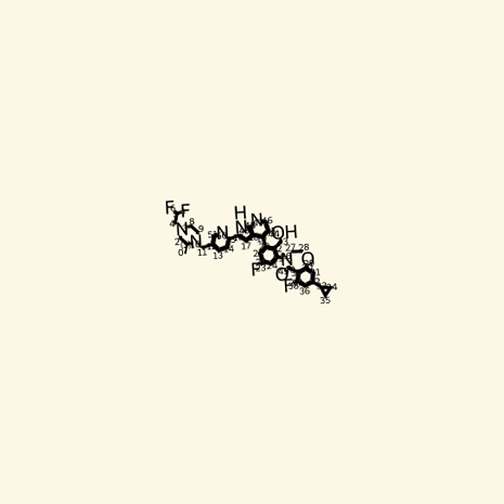 C[C@H]1CN(CC(F)F)CCN1Cc1ccc(-c2cc3c(-c4cc(F)cc(N5CCOc6cc(C7CC7)cc(F)c6C5=O)c4CO)ccnc3[nH]2)nc1